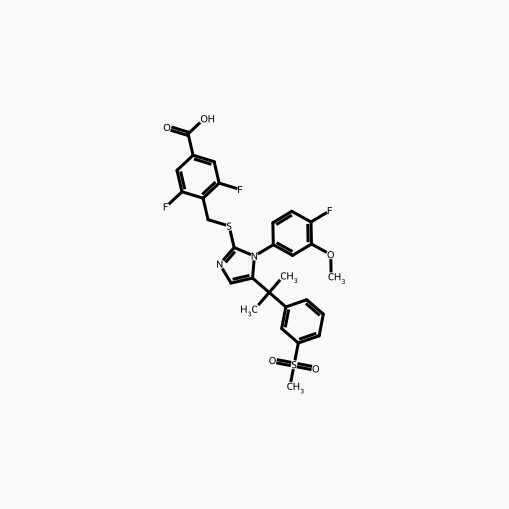 COc1cc(-n2c(C(C)(C)c3cccc(S(C)(=O)=O)c3)cnc2SCc2c(F)cc(C(=O)O)cc2F)ccc1F